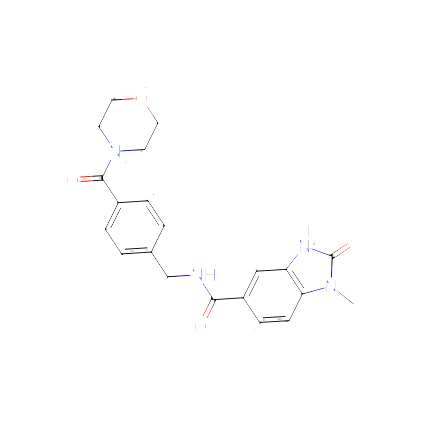 Cn1c(=O)[nH]c2cc(C(=O)NCc3ccc(C(=O)N4CCOCC4)cc3)ccc21